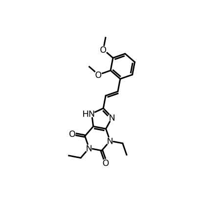 CCn1c(=O)c2[nH]c(C=Cc3cccc(OC)c3OC)nc2n(CC)c1=O